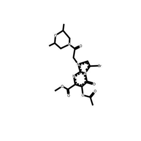 COC(=O)c1nc2n(CC(=O)N3CC(C)OC(C)C3)cc(Br)n2c(=O)c1OC(C)=O